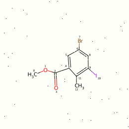 COC(=O)c1cc(Br)cc(I)c1C